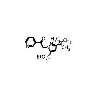 CCOC(=O)c1cc([Si](C)(C)C)nn1CC(=O)c1cccnc1